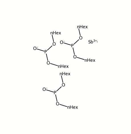 CCCCCCOP([O-])OCCCCCC.CCCCCCOP([O-])OCCCCCC.CCCCCCOP([O-])OCCCCCC.[Sb+3]